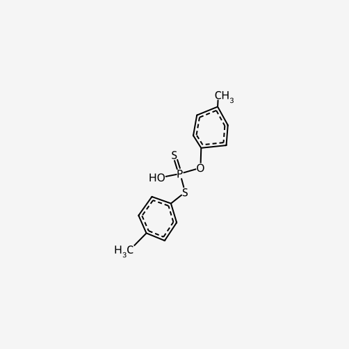 Cc1ccc(OP(O)(=S)Sc2ccc(C)cc2)cc1